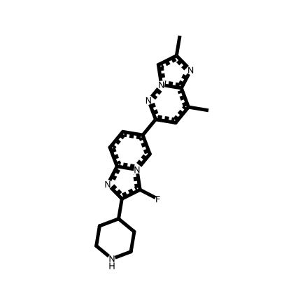 Cc1cn2nc(-c3ccc4nc(C5CCNCC5)c(F)n4c3)cc(C)c2n1